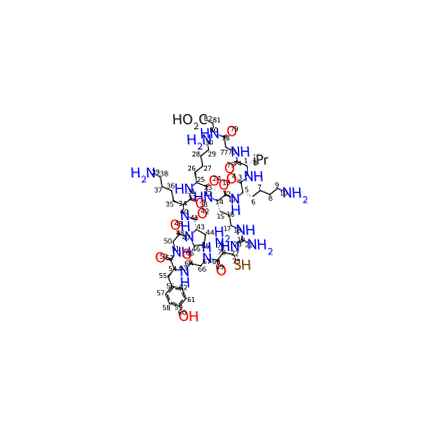 CC(C)[C@H](NC(=O)[C@H](CCCCN)NC(=O)[C@H](CCCNC(=N)N)NC(=O)[C@H](CCCCN)NC(=O)[C@H](CCCCN)NC(=O)[C@@H]1CCCN1C(=O)CNC(=O)[C@H](Cc1ccc(O)cc1)NC(=O)CNC(=O)[C@@H](N)CS)C(=O)NCC(=O)NCC(=O)O